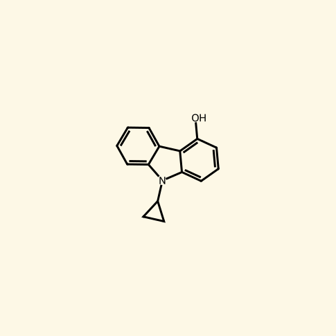 Oc1cccc2c1c1ccccc1n2C1CC1